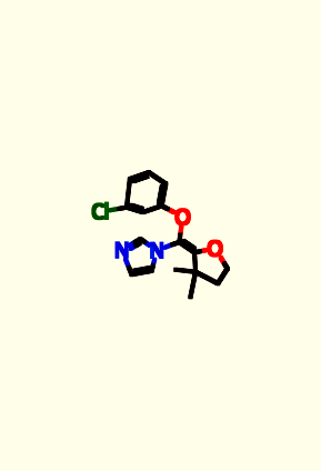 CC1(C)CCOC1=C(Oc1cccc(Cl)c1)n1ccnc1